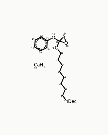 CCCCCCCCCCCCCCCCCCOC1(Oc2ccccc2)OS1.[CaH2]